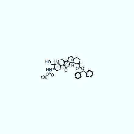 CC(C)(C)OC(=O)N[C@H]1CC[C@@]2(C)[C@@H](CC[C@]3(C)[C@@H]2C(=O)C=C2[C@@H]4C[C@@](C)(C(=O)OC(c5ccccc5)c5ccccc5)CC[C@]4(C)CC[C@]23C)[C@]1(C)CO